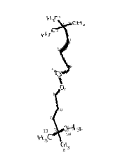 CC(C)(C)CCCOOCCCC(C)(C)C